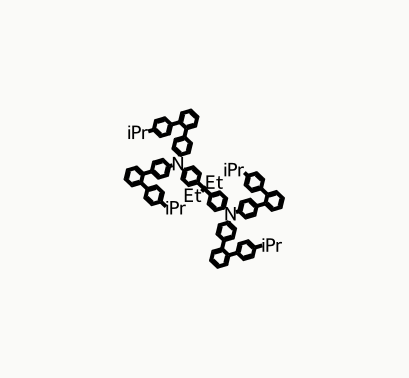 CCC(CC)(c1ccc(N(c2ccc(-c3ccccc3-c3ccc(C(C)C)cc3)cc2)c2ccc(-c3ccccc3-c3ccc(C(C)C)cc3)cc2)cc1)c1ccc(N(c2ccc(-c3ccccc3-c3ccc(C(C)C)cc3)cc2)c2ccc(-c3ccccc3-c3ccc(C(C)C)cc3)cc2)cc1